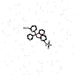 COc1cccc(C(Cc2cccc(NS(C)(=O)=O)n2)(c2cccnc2)c2cccnc2)n1